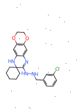 Clc1cccc(CNNC2=Nc3cc4c(cc3NC23CCCCC3)OCCO4)c1